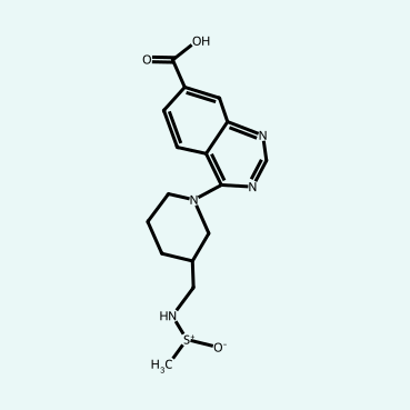 C[S+]([O-])NCC1CCCN(c2ncnc3cc(C(=O)O)ccc23)C1